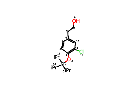 CC(C)[Si](Oc1ccc(CCO)cc1Cl)(C(C)C)C(C)C